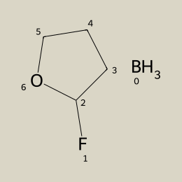 B.FC1CCCO1